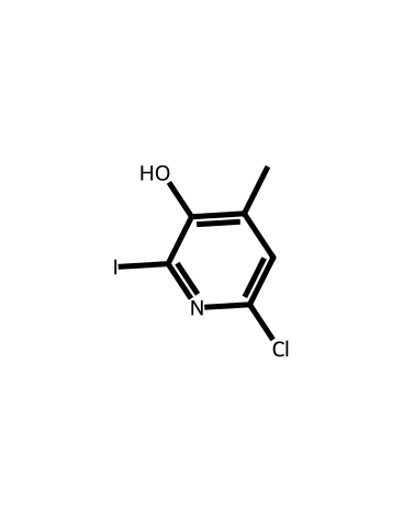 Cc1cc(Cl)nc(I)c1O